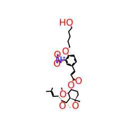 CO[C@@H]1[C@H](OC(=O)/C=C/c2ccc(OCCCCCO)c([N+](=O)[O-])c2)CC[C@]2(CO2)[C@H]1[C@@]1(C)O[C@@H]1CC=C(C)C